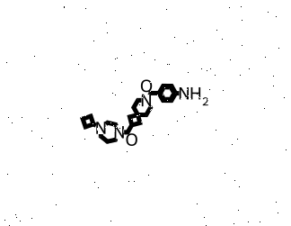 Nc1ccc(C(=O)N2CCC3(CC2)CC(C(=O)N2CCCN(C4CCC4)CC2)C3)cc1